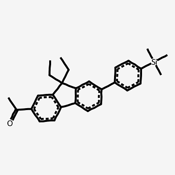 CCC1(CC)c2cc(C(C)=O)ccc2-c2ccc(-c3ccc([Si](C)(C)C)cc3)cc21